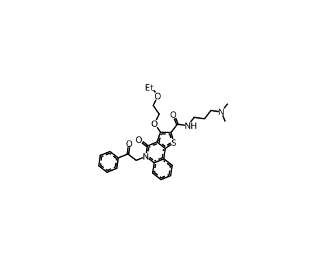 CCOCCOc1c(C(=O)NCCCN(C)C)sc2c1c(=O)n(CC(=O)c1ccccc1)c1ccccc21